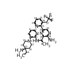 C=C(Nc1ncccc1N1CCC(N)(CC)CC1)c1nc(-c2ncccc2CC(F)(F)F)cnc1N